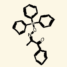 CC(=NO[Si](c1ccccc1)(c1ccccc1)c1ccccc1)C(=O)c1ccccc1